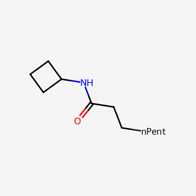 CCCCCCCC(=O)NC1CCC1